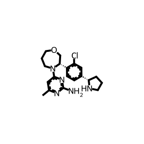 Cc1cc(N2CCCOC[C@@H]2c2ccc([C@@H]3CCCN3)cc2Cl)nc(N)n1